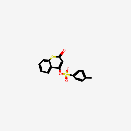 Cc1ccc(S(=O)(=O)Oc2cc(=O)sc3ccccc23)cc1